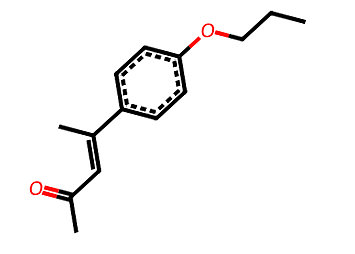 CCCOc1ccc(C(C)=CC(C)=O)cc1